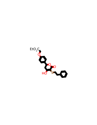 CCOC(=O)COc1ccc(C2CC(O)=C(SCCc3ccccc3)C(=O)O2)cc1